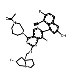 C#Cc1c(F)ccc2cc(O)cc(-c3ncc4c(N5CCCN(C(C)=O)CC5)nc(OC[C@@]56CCCN5C[C@H](F)C6)nc4c3F)c12